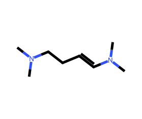 CN(C)C=CCCN(C)C